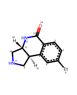 CCc1ccc2c(c1)[C@H]1CNC[C@@H]1NC2=O